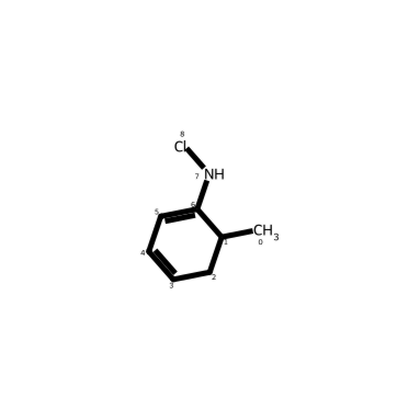 CC1CC=CC=C1NCl